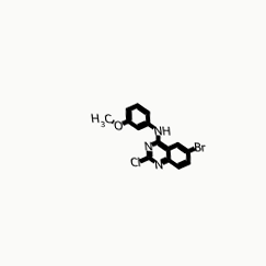 COc1cccc(Nc2nc(Cl)nc3ccc(Br)cc23)c1